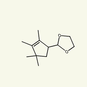 CC1=C(C)C(C)(C)CC1C1OCCO1